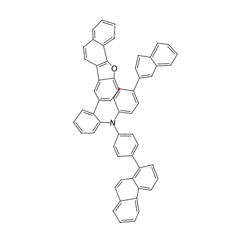 c1ccc(N(c2ccc(-c3ccc4ccccc4c3)cc2)c2ccc(-c3cccc4c3ccc3ccccc34)cc2)c(-c2ccc3oc4c5ccccc5ccc4c3c2)c1